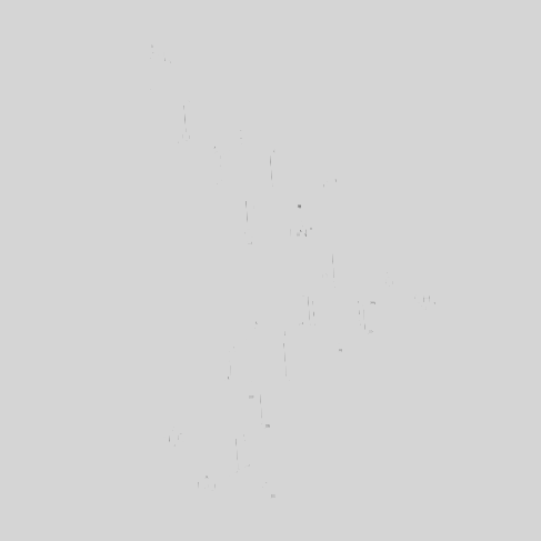 CCCOc1ccc(C(=O)NCc2cc(-c3cccc(/C=C(\CC)C(=O)O)c3)ccc2OC)c(Cl)c1